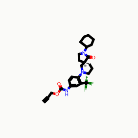 C#CCOC(=O)Nc1ccc(N2CCC[C@@]3(CCN(C4CCCCC4)C3=O)C2)c(C(F)(F)F)c1